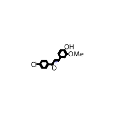 COc1cc(/C=C/C(=O)c2ccc(Cl)cc2)ccc1O